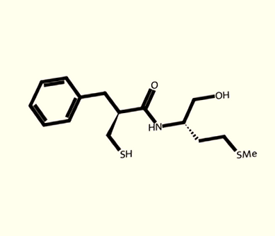 CSCC[C@@H](CO)NC(=O)[C@@H](CS)Cc1ccccc1